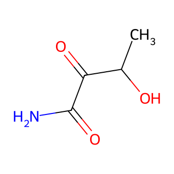 CC(O)C(=O)C(N)=O